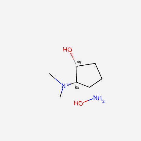 CN(C)[C@H]1CCC[C@H]1O.NO